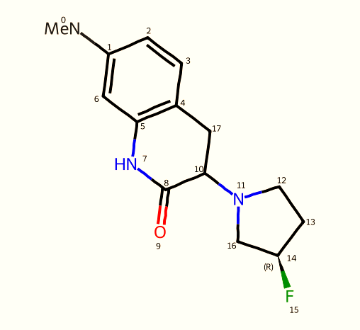 CNc1ccc2c(c1)NC(=O)C(N1CC[C@@H](F)C1)C2